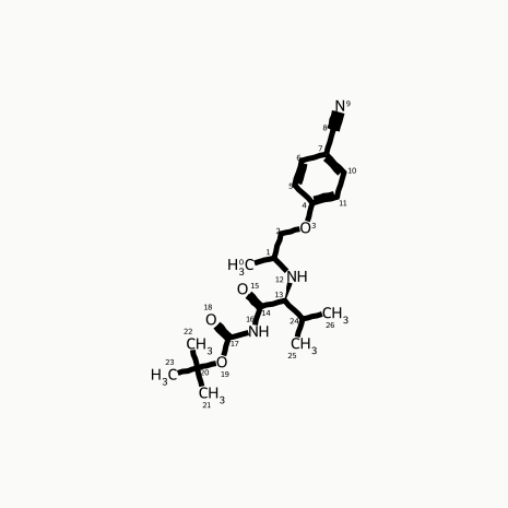 CC(COc1ccc(C#N)cc1)N[C@H](C(=O)NC(=O)OC(C)(C)C)C(C)C